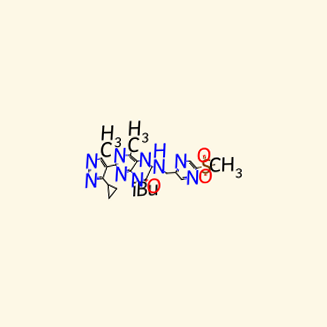 CC[C@@H](C)n1c(=O)c(NCc2cnc(S(C)(=O)=O)cn2)nc2c(C)nc(-c3c(C)ncnc3C3CC3)nc21